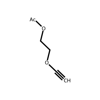 C#COCCOC(C)=O